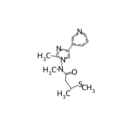 CSC(C)CC(=O)N(C)n1cc(-c2cccnc2)nc1C